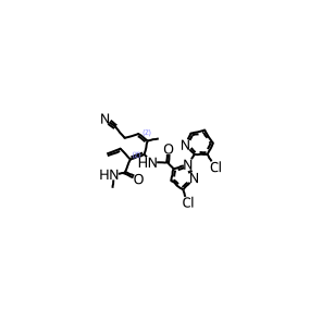 C=C/C(C(=O)NC)=C(NC(=O)c1cc(Cl)nn1-c1ncccc1Cl)\C(C)=C/CC#N